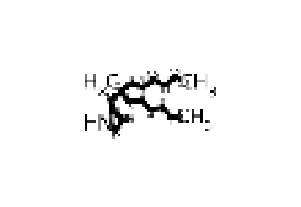 CCCCCCC(C)(CCCCCC)CC1CCN1